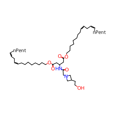 CCCCC/C=C\C/C=C\CCCCCCCCOC(=O)CC(CC(=O)OCCCCCCCC/C=C\C/C=C\CCCCC)NC(=O)CN1CC(CCO)C1